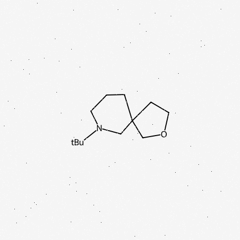 CC(C)(C)N1CCCC2(CCOC2)C1